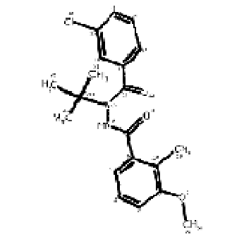 COc1cccc(C(=O)NN(C(=O)c2cccc(Cl)c2)C(C)(C)C)c1C